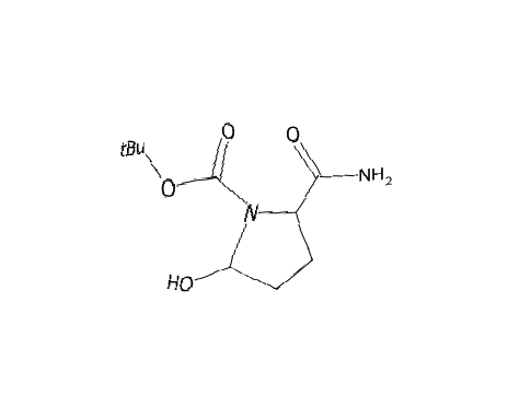 CC(C)(C)OC(=O)N1C(O)CCC1C(N)=O